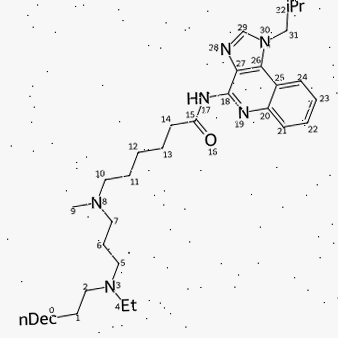 CCCCCCCCCCCCN(CC)CCCN(C)CCCCCC(=O)Nc1nc2ccccc2c2c1ncn2CC(C)C